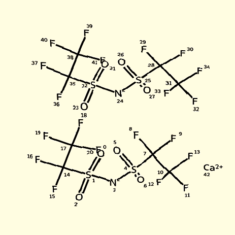 O=S(=O)([N-]S(=O)(=O)C(F)(F)C(F)(F)F)C(F)(F)C(F)(F)F.O=S(=O)([N-]S(=O)(=O)C(F)(F)C(F)(F)F)C(F)(F)C(F)(F)F.[Ca+2]